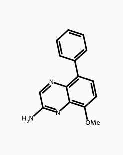 COc1ccc(-c2ccccc2)c2ncc(N)nc12